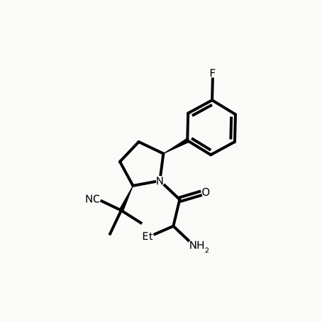 CCC(N)C(=O)N1[C@H](c2cccc(F)c2)CC[C@@H]1C(C)(C)C#N